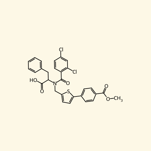 COC(=O)c1ccc(-c2ccc(CN(C(=O)c3ccc(Cl)cc3Cl)C(Cc3ccccc3)C(=O)O)s2)cc1